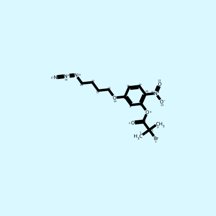 CC(C)(Br)C(=O)Oc1cc(OCCCCN=[N+]=[N-])ccc1[N+](=O)[O-]